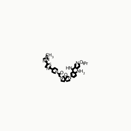 CC(C)Oc1ccc(C(=N)c2cc(N3CC[C@]4(CCN(CC(=O)N5CC=C(c6ncc(-c7ncn(C)n7)s6)CC5)C4)C3=O)ccc2N)cn1